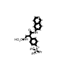 CC(C)[Si](Oc1ccc(C(CNC(=O)O)C(=O)Nc2ccc3cnccc3c2)cc1)(C(C)C)C(C)C